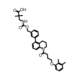 Cc1cccc(OCCCC(=O)N2CCCc3c(-c4cccc(COC(=O)NCC(C)(C)C(=O)O)c4)cccc32)c1C